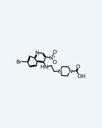 O=C(O)N1CCN(CCNc2c([N+](=O)[O-])cnc3cc(Br)ccc23)CC1